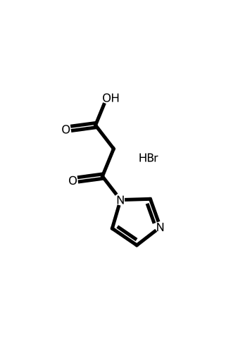 Br.O=C(O)CC(=O)n1ccnc1